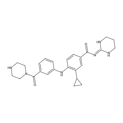 O=C(N=C1NCCCN1)c1ccc(Nc2cccc(C(=O)N3CCNCC3)c2)c(C2CC2)c1